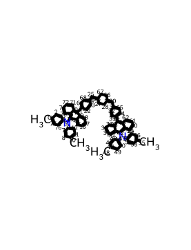 Cc1ccc(N(c2ccc(C)cc2)c2c3ccccc3c(-c3ccc(C=C4CCC(=Cc5ccc(-c6c7ccccc7c(N(c7ccc(C)cc7)c7ccc(C)cc7)c7ccccc67)cc5)CC4)cc3)c3ccccc23)cc1